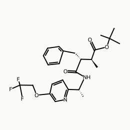 C[C@H](C(=O)OC(C)(C)C)[C@@H](Cc1ccccc1)C(=O)N[C@H](C)c1ccc(OCC(F)(F)F)cn1